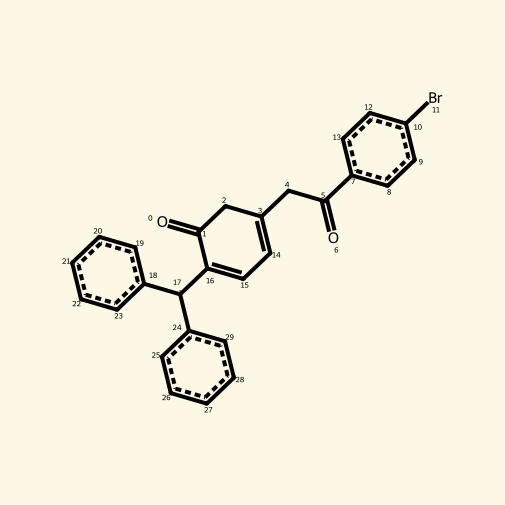 O=C1CC(CC(=O)c2ccc(Br)cc2)=CC=C1[C](c1ccccc1)c1ccccc1